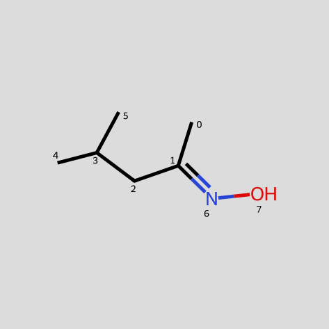 C/C(CC(C)C)=N\O